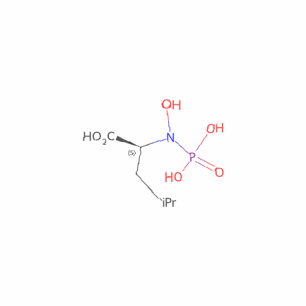 CC(C)C[C@@H](C(=O)O)N(O)P(=O)(O)O